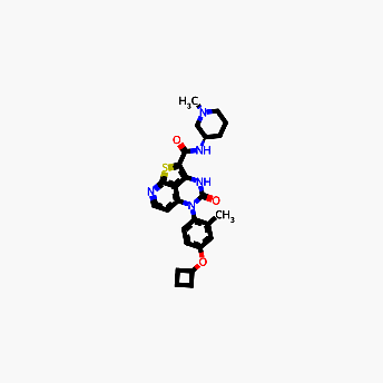 Cc1cc(OC2CCC2)ccc1N1C(=O)Nc2c(C(=O)N[C@@H]3CCCN(C)C3)sc3nccc1c23